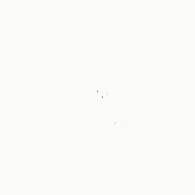 C=CC(=O)N1CC(C)CC[C@@H]1C